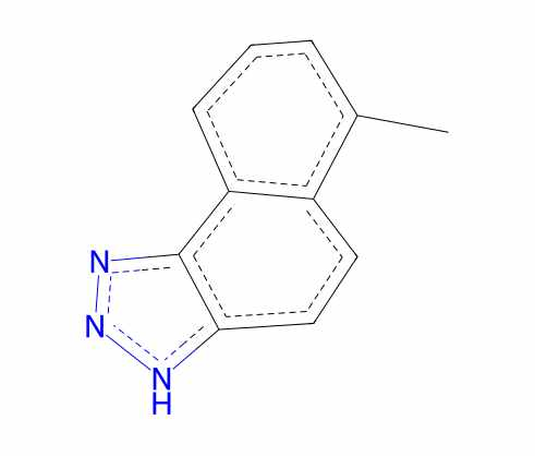 Cc1cccc2c1ccc1[nH]nnc12